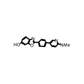 CNc1ccc(-c2ccc(-c3nc4ccc(O)cc4o3)cc2)cn1